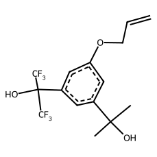 C=CCOc1cc(C(C)(C)O)cc(C(O)(C(F)(F)F)C(F)(F)F)c1